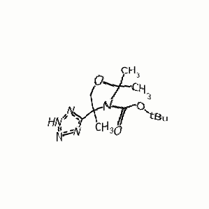 CC(C)(C)OC(=O)N1C(C)(C)OCC1(C)c1nn[nH]n1